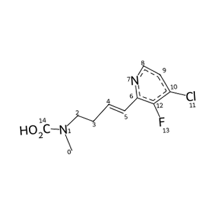 CN(CCC=Cc1nccc(Cl)c1F)C(=O)O